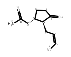 CC/C=C\C[C@@H]1C(=O)CC[C@H]1CC(N)=O